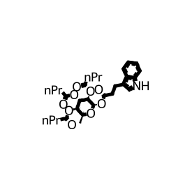 CCCC(=O)O[C@H]1[C@H](OC(=O)CCC)[C@H](OC(=O)CCc2c[nH]c3ccccc23)O[C@@H](C)[C@H]1OC(=O)CCC